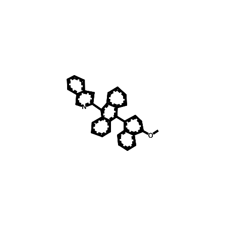 COc1ccc(-c2c3ccccc3c(-c3cc4ccccc4cn3)c3ccccc23)c2ccccc12